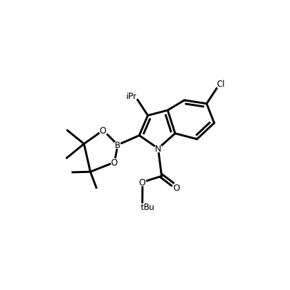 CC(C)c1c(B2OC(C)(C)C(C)(C)O2)n(C(=O)OC(C)(C)C)c2ccc(Cl)cc12